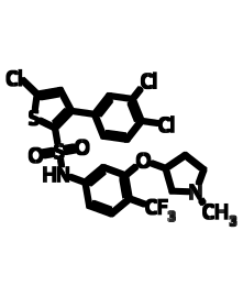 CN1CCC(Oc2cc(NS(=O)(=O)c3sc(Cl)cc3-c3ccc(Cl)c(Cl)c3)ccc2C(F)(F)F)C1